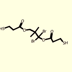 CC(C)(COC(=O)CCS)C(Br)(Br)OC(=O)CCS